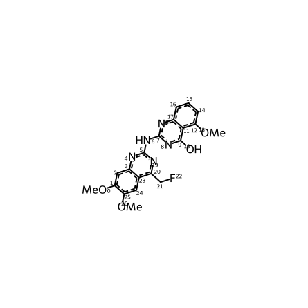 COc1cc2nc(Nc3nc(O)c4c(OC)cccc4n3)nc(CF)c2cc1OC